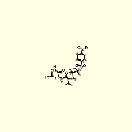 CC(C)[C@@H](C(=O)N[C@@H](CC(=O)O)C(=O)O)N(C)C(=O)C(C)(C)NS(=O)(=O)c1ccc([N+](=O)[O-])cc1